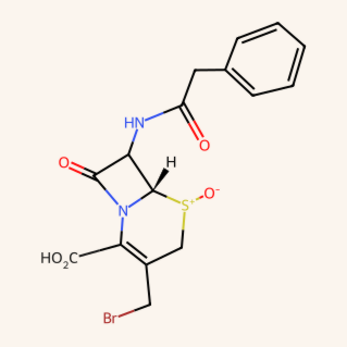 O=C(Cc1ccccc1)NC1C(=O)N2C(C(=O)O)=C(CBr)C[S+]([O-])[C@@H]12